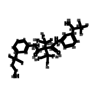 C[Si](C)(CCS)c1cccc(NC(=O)C(C(=O)Nc2cccc(C(S)[Si](C)(C)C)c2)(C(F)(F)F)C(F)(F)F)c1